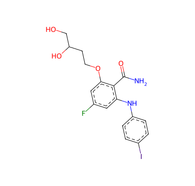 NC(=O)c1c(Nc2ccc(I)cc2)cc(F)cc1OCCC(O)CO